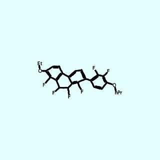 CCCOc1ccc(-c2ccc3c(c2F)C(F)C(F)c2c-3ccc(OCC)c2F)c(F)c1F